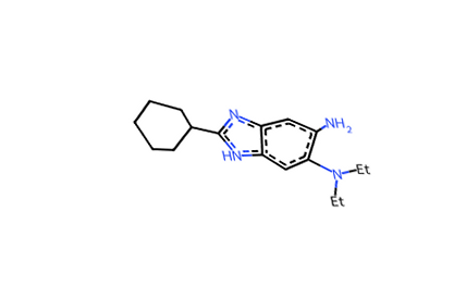 CCN(CC)c1cc2[nH]c(C3CCCCC3)nc2cc1N